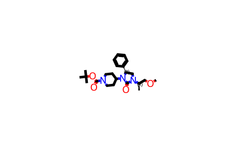 COC[C@@H](C)N1C[C@@H](c2ccccc2)N(C2CCN(C(=O)OC(C)(C)C)CC2)C1=O